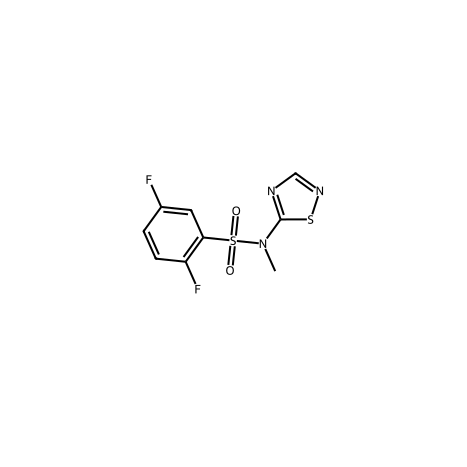 CN(c1ncns1)S(=O)(=O)c1cc(F)ccc1F